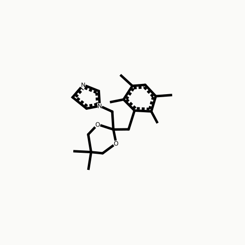 Cc1cc(C)c(C)c(CC2(Cn3ccnc3)OCC(C)(C)CO2)c1C